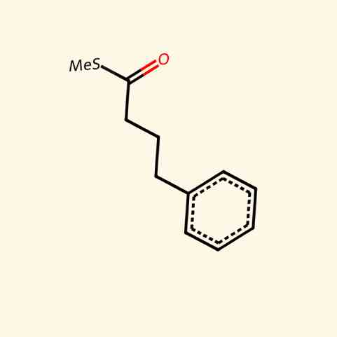 CSC(=O)CCCc1ccccc1